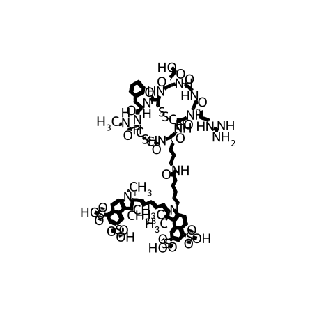 CCNC(=O)[C@@H]1CSCC(=O)N[C@@H](CCCCNC(=O)CCCCCN2/C(=C/C=C/C=C/C3=[N+](CC)c4ccc5c(S(=O)(=O)O)cc(S(=O)(=O)O)cc5c4C3(C)C)C(C)(C)c3c2ccc2c(S(=O)(=O)O)cc(S(=O)(=O)O)cc32)C(=O)N[C@H]2CSSC[C@H](NC(=O)[C@H](CC(=O)O)NC(=O)CNC(=O)[C@H](CCCNC(=N)N)NC2=O)C(=O)NC(Cc2ccccc2)C(=O)N1